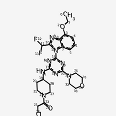 CCOc1cccc2c1nc(C(F)F)n2-c1nc(NC2CCN(C(=O)CCl)CC2)nc(N2CCOCC2)n1